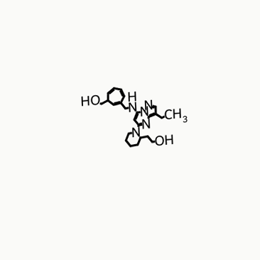 CCc1cnn2c(NCC3=CC(CO)C=CC=C3)cc(N3CCCCC3CCO)nc12